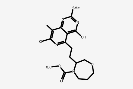 CSc1nc(O)c2c(CCC3COCCCN3C(=O)OC(C)(C)C)nc(Cl)c(F)c2n1